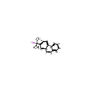 CC(C)(I)c1ccc2c(ccc3ccccc32)c1